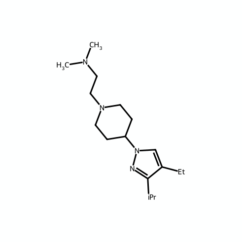 CCc1cn(C2CCN(CCN(C)C)CC2)nc1C(C)C